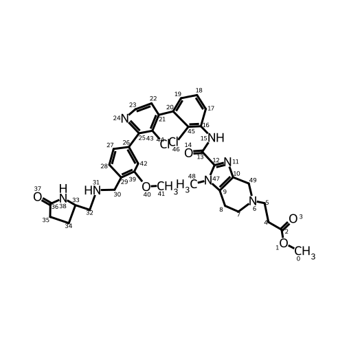 COC(=O)CCN1CCc2c(nc(C(=O)Nc3cccc(-c4ccnc(-c5ccc(CNCC6CCC(=O)N6)c(OC)c5)c4Cl)c3Cl)n2C)C1